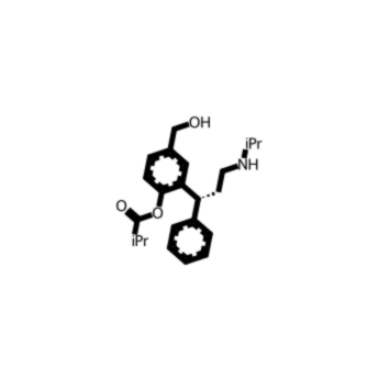 CC(C)NCC[C@H](c1ccccc1)c1cc(CO)ccc1OC(=O)C(C)C